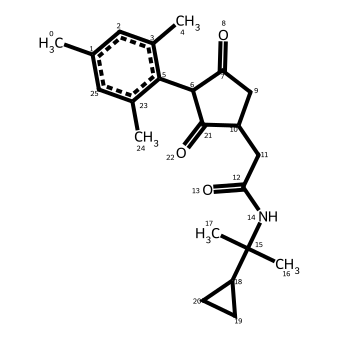 Cc1cc(C)c(C2C(=O)CC(CC(=O)NC(C)(C)C3CC3)C2=O)c(C)c1